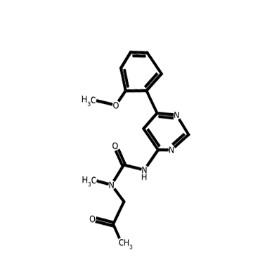 COc1ccccc1-c1cc(NC(=O)N(C)CC(C)=O)ncn1